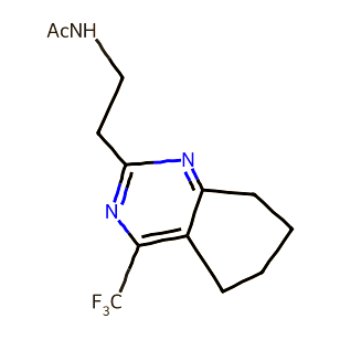 CC(=O)NCCc1nc2c(c(C(F)(F)F)n1)CCCC2